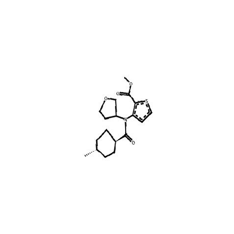 COC(=O)c1sccc1N(C(=O)[C@H]1CC[C@H](C)CC1)C1CCOC1